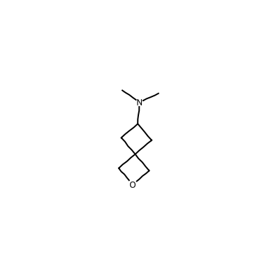 CN(C)C1CC2(COC2)C1